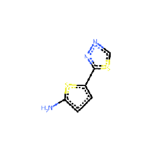 Nc1ccc(-c2nncs2)s1